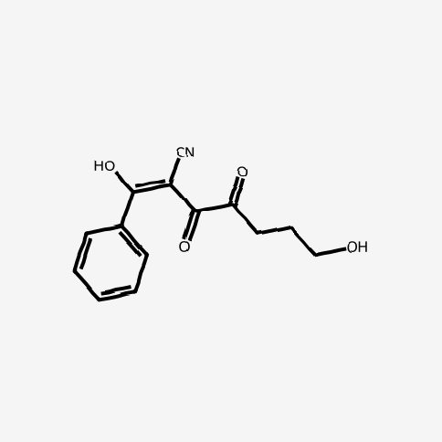 N#CC(C(=O)C(=O)CCCO)=C(O)c1ccccc1